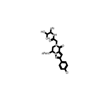 CCCCCC1CN(CC(=O)NC(CCC)C(O)O)C(=O)c2cc(-c3ccc(Cl)cc3)nn21